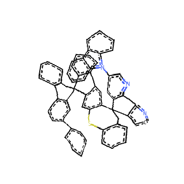 c1ccc(-c2ccc3c(c2)C2(c4ccccc4-3)c3ccccc3-c3cc4c(cc32)Sc2ccccc2C42c3cccnc3-c3ncc(-n4c5ccccc5c5ccccc54)cc32)cc1